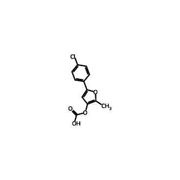 Cc1oc(-c2ccc(Cl)cc2)cc1OC(=O)O